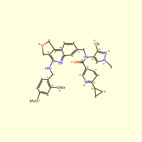 COc1ccc(CNc2nc3cc(CN(C(=O)c4ccc(C5CC5)nc4)c4cn(C)nc4C#N)ccc3c3c2COC3)c(OC)c1